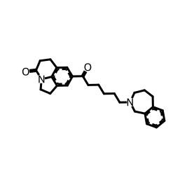 O=C(CCCCCN1CCCc2ccccc2C1)c1cc2c3c(c1)CCN3C(=O)CC2